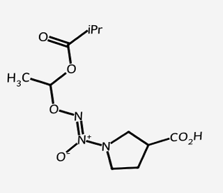 CC(ON=[N+]([O-])N1CCC(C(=O)O)C1)OC(=O)C(C)C